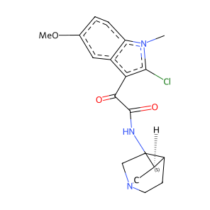 COc1ccc2c(c1)c(C(=O)C(=O)N[C@@H]1CN3CCC1CC3)c(Cl)n2C